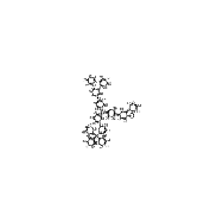 c1ccc(-c2ccc(-c3ccc(N(c4ccc(-c5ccc6oc7ccccc7c6c5)cc4)c4cccc(-c5cccc6c5-c5ccccc5C6(c5ccccc5)c5ccccc5)c4)cc3)cc2-c2ccccc2)cc1